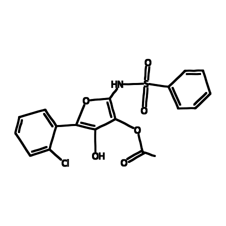 CC(=O)Oc1c(NS(=O)(=O)c2ccccc2)oc(-c2ccccc2Cl)c1O